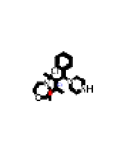 CC/C(C)=C(/C(c1ccccc1)N1CCNCC1)C(C)(Cl)N1CCOCC1